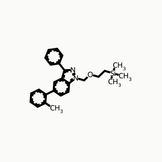 Cc1ccccc1-c1ccc2c(c1)c(-c1ccccc1)nn2COCC[Si](C)(C)C